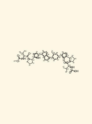 COC(=O)N[C@H](C(=O)N1CCCC1c1ncc(-c2csc3c2ccn3-c2ccc(-c3cnc(C4CCCN4C(=O)[C@@H](NC(=O)O)C(C)C)[nH]3)cc2C)[nH]1)C(C)C